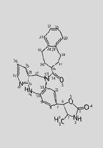 CC1NC(=O)OC1c1ccc2c(c1)N(C(=O)C1CCc3ccccc3CC1)Cc1cccnc1N2